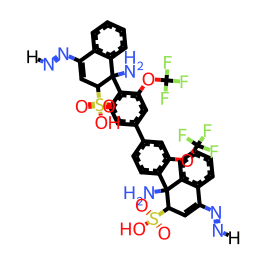 [H]/N=N/C1=CC(S(=O)(=O)O)C(N)(c2ccc(-c3ccc(C4(N)c5ccccc5C(/N=N/[H])=CC4S(=O)(=O)O)c(OC(F)(F)F)c3)cc2OC(F)(F)F)c2ccccc21